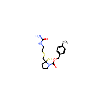 NC(=O)NCCSCC1(S)CCCN1C(=O)OCc1ccc([N+](=O)[O-])cc1